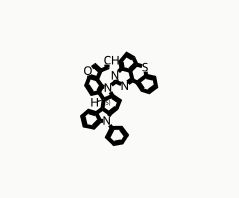 C=Cc1coc2ccc3c(c12)N(c1nc2c4c(cccc4n1)Sc1ccccc1-2)C1=CC=C2C(c4ccccc4N2c2ccccc2)[C@H]13